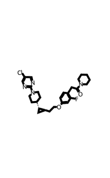 O=C(Cc1ccc(OCCC2C[C@@H]2C2CCN(c3ncc(Cl)cn3)CC2)cc1F)N1CCCCC1